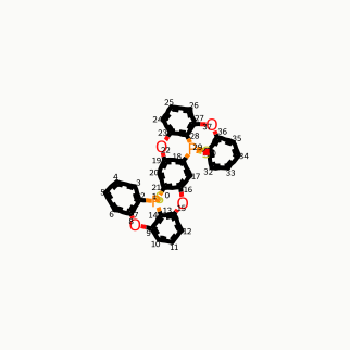 S=P12c3ccccc3Oc3cccc(c31)Oc1cc3c(cc12)Oc1cccc2c1P3(=S)c1ccccc1O2